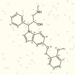 CNCC(O)C(c1ccccc1)n1ccc2cc(OCc3ccccc3OC)ccc21